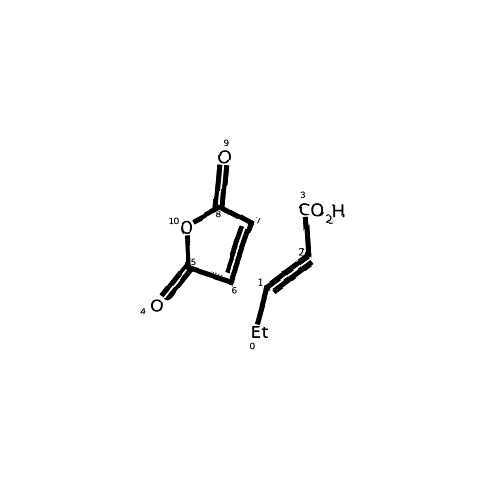 CCC=CC(=O)O.O=C1C=CC(=O)O1